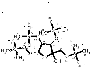 C[Si](C)(C)OC[C@H]1OC(O)(CO[Si](C)(C)C)[C@@H](O[Si](C)(C)C)[C@@H]1O[Si](C)(C)C